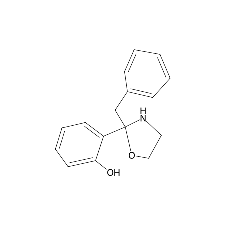 Oc1ccccc1C1(Cc2ccccc2)NCCO1